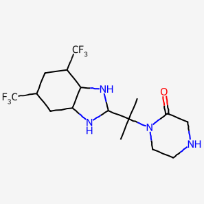 CC(C)(C1NC2CC(C(F)(F)F)CC(C(F)(F)F)C2N1)N1CCNCC1=O